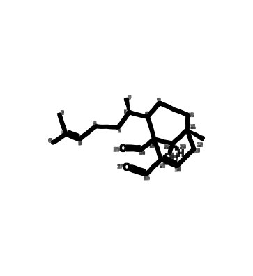 CC(C)=CCC[C@@H](C)C1CC[C@]2(C)CC=C(C=O)C1(C=O)[C@@H]2O